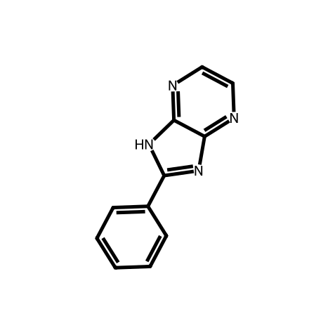 c1ccc(-c2nc3nccnc3[nH]2)cc1